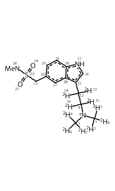 [2H]C([2H])([2H])N(C([2H])([2H])[2H])C([2H])([2H])C([2H])([2H])c1c[nH]c2ccc(CS(=O)(=O)NC)cc12